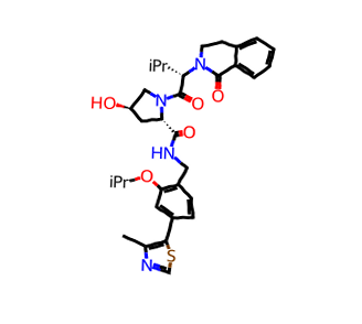 Cc1ncsc1-c1ccc(CNC(=O)[C@@H]2C[C@@H](O)CN2C(=O)[C@H](C(C)C)N2CCc3ccccc3C2=O)c(OC(C)C)c1